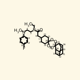 CCN(CCN(C)c1ccc(F)cc1)C(=O)CC1CCC2(CC1)OOC1(OO2)C2CC3CC(C2)CC1C3